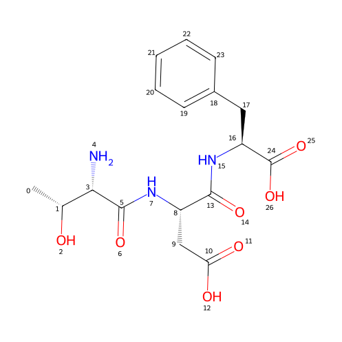 C[C@@H](O)[C@H](N)C(=O)N[C@@H](CC(=O)O)C(=O)N[C@@H](Cc1ccccc1)C(=O)O